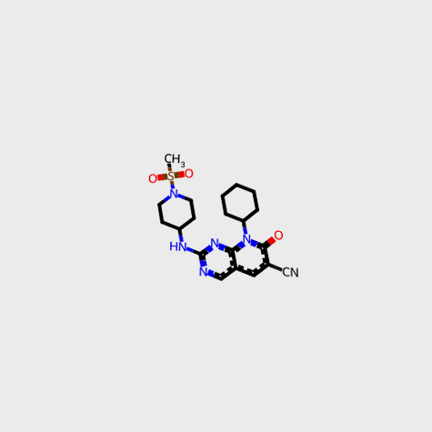 CS(=O)(=O)N1CCC(Nc2ncc3cc(C#N)c(=O)n(C4CCCCC4)c3n2)CC1